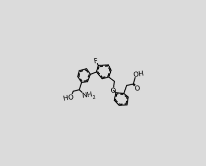 NC(CO)c1cccc(-c2cc(COc3ccccc3CC(=O)O)ccc2F)c1